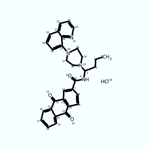 CCCC(NC(=O)c1ccc2c(c1)C(=O)c1ccccc1C2=O)N1CCN(c2cccc3cccnc23)CC1.Cl